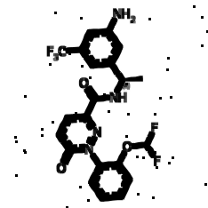 C[C@@H](NC(=O)c1ccc(=O)n(-c2ccccc2OC(F)F)n1)c1cc(N)cc(C(F)(F)F)c1